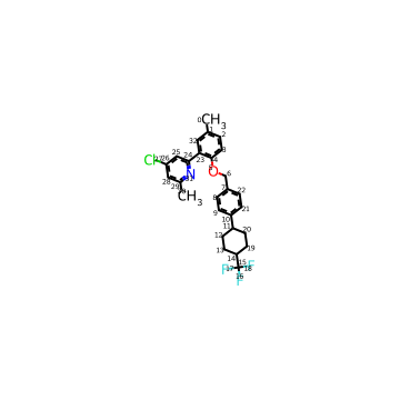 Cc1ccc(OCc2ccc(C3CCC(C(F)(F)F)CC3)cc2)c(-c2cc(Cl)cc(C)n2)c1